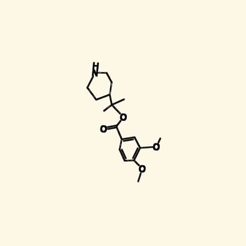 COc1ccc(C(=O)OC(C)(C)C2CCNCC2)cc1OC